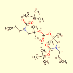 C=CCN(CC(C)(C)OC(=O)OC(C)(C)CN(CC=C)C(=O)OC(C)(C)C)C(=O)OC(C)(C)C